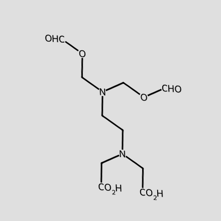 O=COCN(CCN(CC(=O)O)CC(=O)O)COC=O